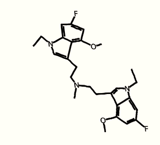 CCn1cc(CCN(C)CCc2cn(CC)c3cc(F)cc(OC)c23)c2c(OC)cc(F)cc21